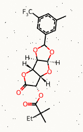 CCC(C)(C)C(=O)O[C@@H]1C(=O)O[C@@H]2[C@H]3OC(c4cc(C)cc(C(F)(F)F)c4)O[C@H]3O[C@@H]21